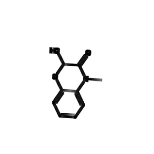 CN1C(=O)C(O)Oc2ccccc21